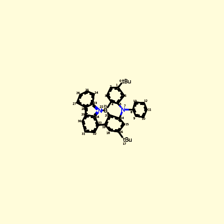 CC(C)(C)c1ccc2c(c1)N(c1ccccc1)c1cc(C(C)(C)C)cc3c1B2n1c2ccccc2c2cccc-3c21